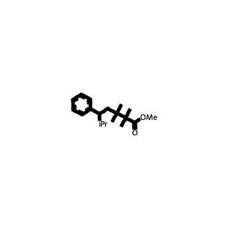 COC(=O)C(C)(C)C(C)(C)CC(c1ccccc1)C(C)C